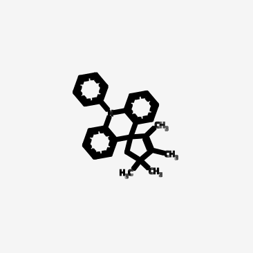 CC1=C(C)C2(CC1(C)C)c1ccccc1N(c1ccccc1)c1ccccc12